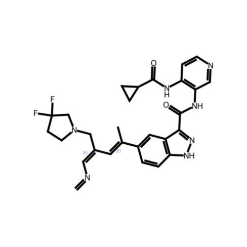 C=N/C=C(\C=C(/C)c1ccc2[nH]nc(C(=O)Nc3cnccc3NC(=O)C3CC3)c2c1)CN1CCC(F)(F)C1